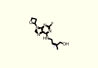 C/C(=C/CNc1nc(F)nc2c1ncn2C1CCO1)CO